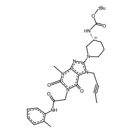 CC#CCn1c(N2CCC[C@@H](NC(=O)OC(C)(C)C)C2)nc2c1c(=O)n(CC(=O)Nc1ccccc1C)c(=O)n2C